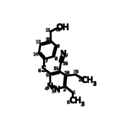 CCc1nnc(Sc2ccc(CO)cc2)c(C#N)c1CC